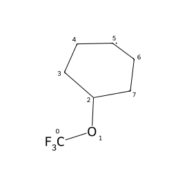 FC(F)(F)OC1CC[CH]CC1